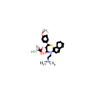 COc1ccc([C@@H]2Sc3c(ccc4ccccc34)N(CCN(C)C)C(=O)[C@@H]2OC(C)=O)cc1.Cl